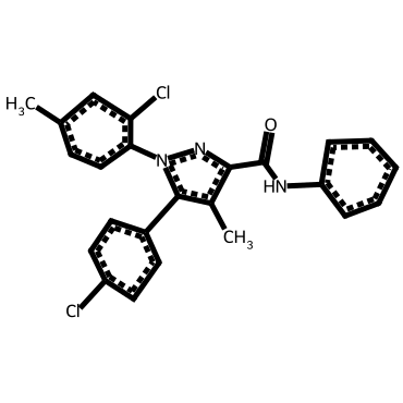 Cc1ccc(-n2nc(C(=O)Nc3ccccc3)c(C)c2-c2ccc(Cl)cc2)c(Cl)c1